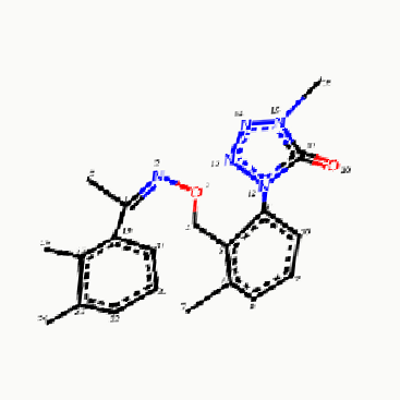 C/C(=N/OCc1c(C)cccc1-n1nnn(C)c1=O)c1cccc(C)c1C